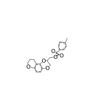 Cc1ccc(S(=O)(=O)OCC2COc3ccc4c(c3O2)CCCO4)cc1